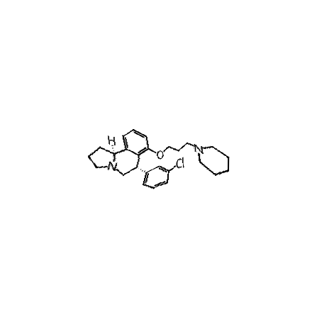 Clc1cccc([C@@H]2CN3CCC[C@H]3c3cccc(OCCCN4CCCCC4)c32)c1